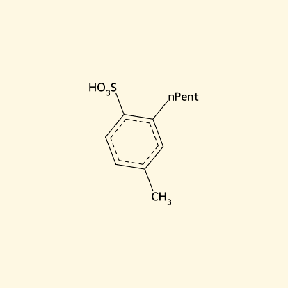 CCCCCc1cc(C)ccc1S(=O)(=O)O